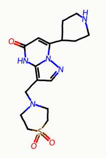 O=c1cc(C2CCNCC2)n2ncc(CN3CCS(=O)(=O)CC3)c2[nH]1